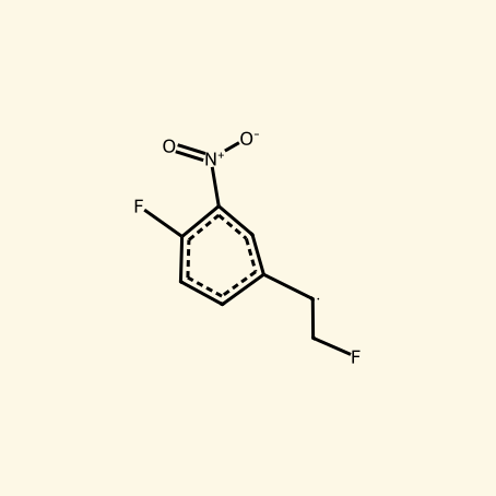 O=[N+]([O-])c1cc([CH]CF)ccc1F